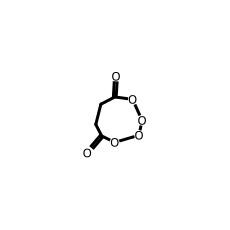 O=C1CCC(=O)OOOO1